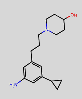 Nc1cc(CCCN2CCC(O)CC2)cc(C2CC2)c1